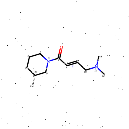 C[C@@H]1CCCN(C(=O)/C=C/CN(C)C)C1